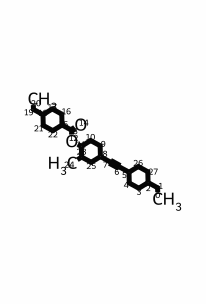 CCC1CCC(C#CC2CCC(OC(=O)C3CCC(CC)CC3)C(C)C2)CC1